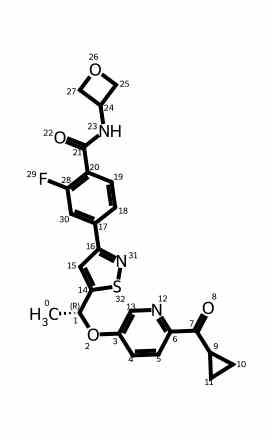 C[C@@H](Oc1ccc(C(=O)C2CC2)nc1)c1cc(-c2ccc(C(=O)NC3COC3)c(F)c2)ns1